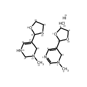 CN1C=NC=C(C2OCCO2)C1.CN1CNC=C(C2OCCS2)C1.Cl.I